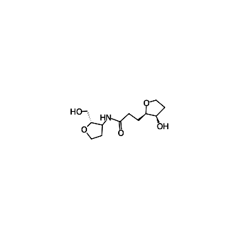 O=C(CC[C@H]1OCC[C@H]1O)NC1CCO[C@@H]1CO